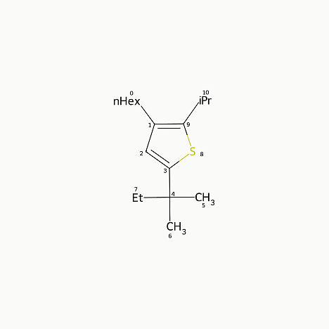 CCCCCCc1cc(C(C)(C)CC)sc1C(C)C